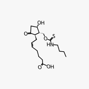 CCCCNC(=S)OC[C@H]1[C@H](O)CC(=O)[C@@H]1C/C=C\CCCC(=O)O